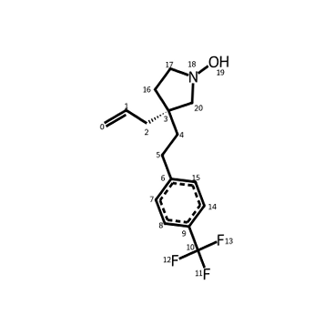 C=CC[C@]1(CCc2ccc(C(F)(F)F)cc2)CCN(O)C1